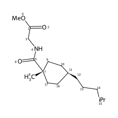 COC(=O)CNC(=O)[C@]1(C)CC[C@@H](CCCC(C)C)CC1